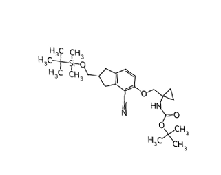 CC(C)(C)OC(=O)NC1(COc2ccc3c(c2C#N)CC(CO[Si](C)(C)C(C)(C)C)C3)CC1